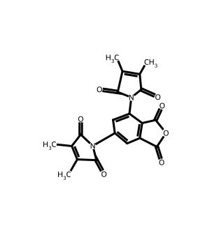 CC1=C(C)C(=O)N(c2cc3c(c(N4C(=O)C(C)=C(C)C4=O)c2)C(=O)OC3=O)C1=O